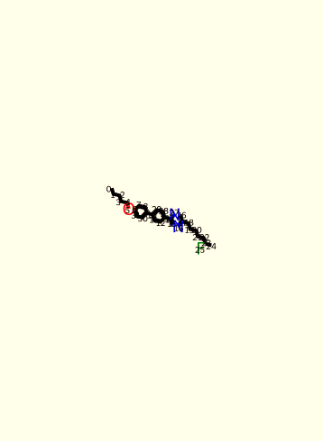 CCCCCOc1ccc(-c2ccc(-c3cnc(CCCCCC(C)F)cn3)cc2)cc1